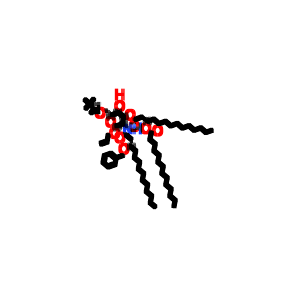 C=CCO[C@H]1O[C@H](CO[Si](C)(C)C(C)(C)C)[C@@H](O)[C@H](OC(=O)C[C@@H](CCCCCCCCCCC)OC(=O)CCCCCCCCCCCCC)[C@H]1NC(=O)C[C@H](CCCCCCCCCCC)OCc1ccccc1